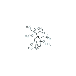 CCC(OC)(OC)C(CP)N(CCOC)C(CP)C(CC)(OC)OC